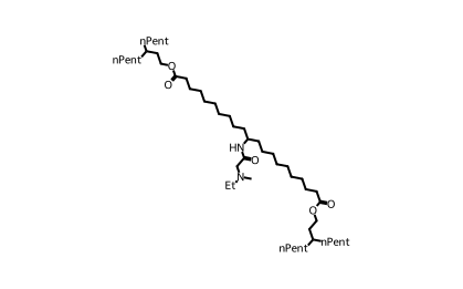 CCCCCC(CCCCC)CCOC(=O)CCCCCCCCCC(CCCCCCCCCC(=O)OCCC(CCCCC)CCCCC)NC(=O)CN(C)CC